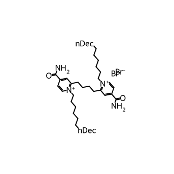 CCCCCCCCCCCCCCCC[n+]1ccc(C(N)=O)cc1CCCCc1cc(C(N)=O)cc[n+]1CCCCCCCCCCCCCCCC.[Br-].[Br-]